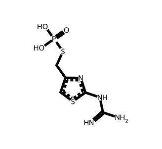 N=C(N)Nc1nc(CSP(=O)(O)O)cs1